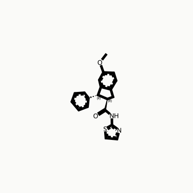 COc1ccc2c(c1)[C@@H](c1ccccc1)[C@H](C(=O)Nc1nccs1)C2